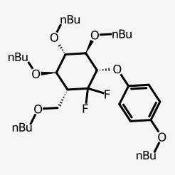 CCCCOC[C@@H]1[C@@H](OCCCC)[C@H](OCCCC)[C@@H](OCCCC)[C@H](Oc2ccc(OCCCC)cc2)C1(F)F